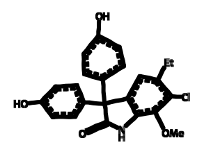 CCc1cc2c(c(OC)c1Cl)NC(=O)C2(c1ccc(O)cc1)c1ccc(O)cc1